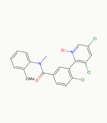 COc1ccccc1N(C)C(=O)c1ccc(Cl)c(-c2c(Cl)cc(Cl)c[n+]2[O-])c1